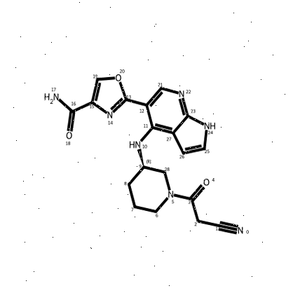 N#CCC(=O)N1CCC[C@@H](Nc2c(-c3nc(C(N)=O)co3)cnc3[nH]ccc23)C1